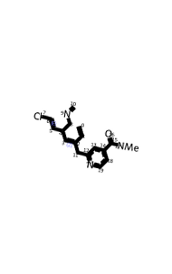 C=C/C(=C\C(/C=C/Cl)CN=C)Cc1cc(C(=O)NC)ccn1